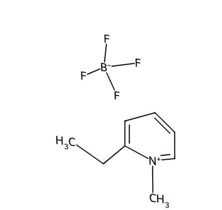 CCc1cccc[n+]1C.F[B-](F)(F)F